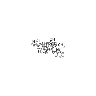 Cc1ncsc1-c1ccc([C@]2(C)NC([C@H]3C[C@@H](O)CN3C(=O)C(C(C)C)N3Cc4ccccc4C3=O)=NC2=O)cc1